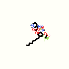 CCCCCCCCc1ccc(N(C)S(=O)(=O)NC2(CC(=O)O)CCC[N+](C)(C)C2)cc1.O=C([O-])C(F)(F)F